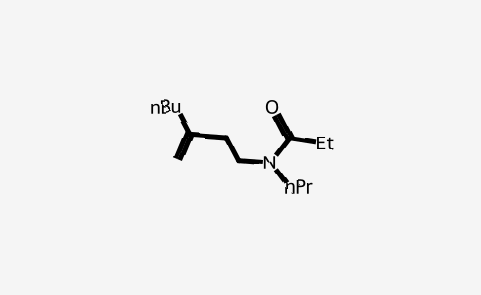 C=C(CCCC)CCN(CCC)C(=O)CC